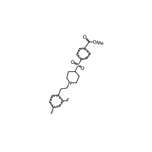 COC(=O)c1ccc(S(=O)(=O)C2CCN(CCc3ccc(F)cc3F)CC2)cc1